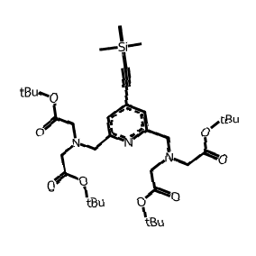 CC(C)(C)OC(=O)CN(CC(=O)OC(C)(C)C)Cc1cc(C#C[Si](C)(C)C)cc(CN(CC(=O)OC(C)(C)C)CC(=O)OC(C)(C)C)n1